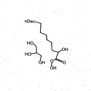 CCCCCCCCCCCCCCCCC(O)C(=O)OO.OCC(O)CO